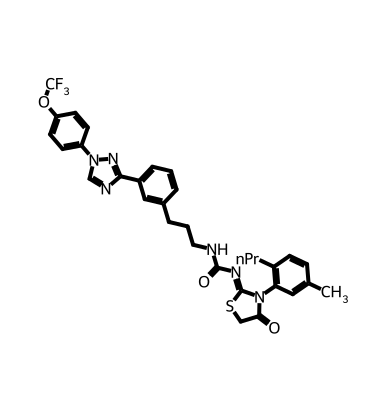 CCCc1ccc(C)cc1N1C(=O)CSC1=NC(=O)NCCCc1cccc(-c2ncn(-c3ccc(OC(F)(F)F)cc3)n2)c1